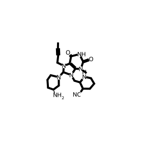 CC#CCN1c2c(n(C)c(=O)[nH]c2=O)N(CC2NCCCC2C#N)C1N1CCC[C@@H](N)C1